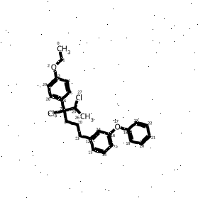 CCOc1ccc(C(Cl)(CCCc2cccc(Oc3ccccc3)c2)C(C)Cl)cc1